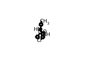 Cc1ccc(C2CC(c3c(Cc4ccccc4)c4cc(Cl)ccc4[nH]c3=O)=NN2)cc1